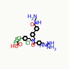 N=C(N)NCc1ccc(C(=O)N(CCc2ccc(Cl)cc2Cl)Cc2cccc(-c3cccc(C(=O)NCCN)c3)c2)cc1.O=C(O)C(F)(F)F